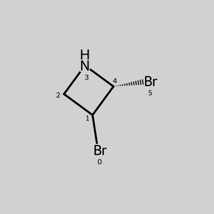 BrC1CN[C@@H]1Br